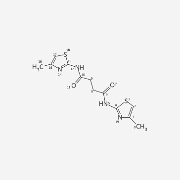 Cc1csc(NC(=O)CCC(=O)Nc2nc(C)cs2)n1